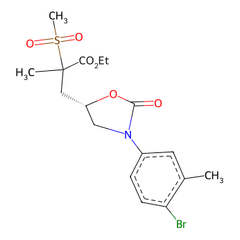 CCOC(=O)C(C)(C[C@H]1CN(c2ccc(Br)c(C)c2)C(=O)O1)S(C)(=O)=O